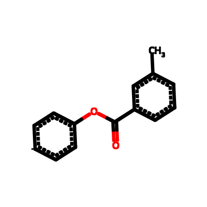 Cc1cccc(C(=O)Oc2cc[c]cc2)c1